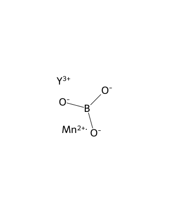 [Mn+2].[O-]B([O-])[O-].[Y+3]